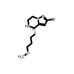 COCCCC[C@@H]1NCCn2nc(Br)cc21